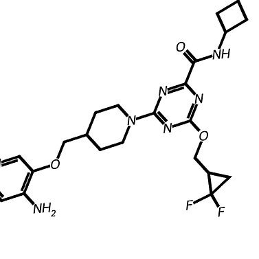 Nc1ccncc1OCC1CCN(c2nc(OCC3CC3(F)F)nc(C(=O)NC3CCC3)n2)CC1